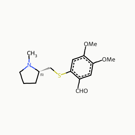 COc1cc(C=O)c(SC[C@@H]2CCCN2C)cc1OC